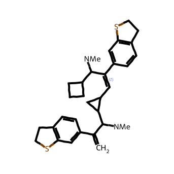 C=C(c1ccc2c(c1)SCC2)C(NC)C1CC1/C=C(/c1ccc2c(c1)SCC2)C(NC)C1CCC1